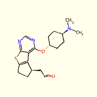 CN(C)[C@H]1CC[C@H](Oc2ncnc3sc4c(c23)[C@@H](CC=O)CC4)CC1